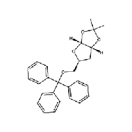 CC1(C)O[C@H]2O[C@H](COC(c3ccccc3)(c3ccccc3)c3ccccc3)C[C@H]2O1